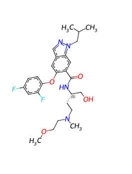 COCCN(C)CC[C@@H](CO)NC(=O)c1cc2c(cnn2CC(C)C)cc1Oc1ccc(F)cc1F